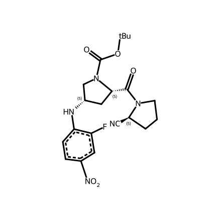 CC(C)(C)OC(=O)N1C[C@@H](Nc2ccc([N+](=O)[O-])cc2F)C[C@H]1C(=O)N1CCC[C@H]1C#N